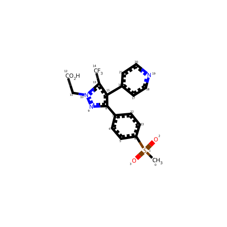 CS(=O)(=O)c1ccc(-c2nn(CC(=O)O)c(C(F)(F)F)c2-c2ccncc2)cc1